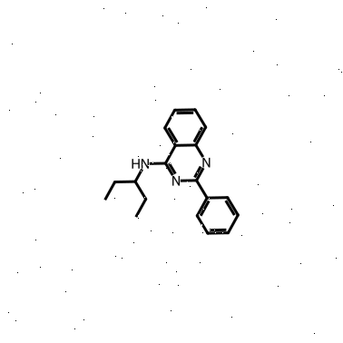 CCC(CC)Nc1nc(-c2ccccc2)nc2ccccc12